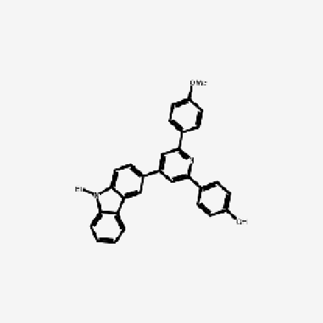 CCn1c2ccccc2c2cc(-c3cc(-c4ccc(O)cc4)nc(-c4ccc(OC)cc4)c3)ccc21